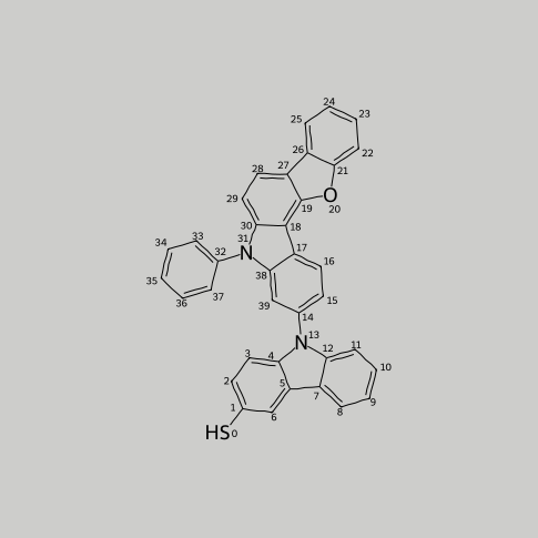 Sc1ccc2c(c1)c1ccccc1n2-c1ccc2c3c4oc5ccccc5c4ccc3n(-c3ccccc3)c2c1